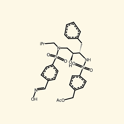 CC(=O)OCc1ccc(S(=O)(=O)N[C@@H](Cc2ccccc2)[C@@H](O)CN(CC(C)C)S(=O)(=O)c2ccc(C=NO)cc2)cc1